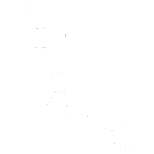 CC(C)(C)OC(=O)CCN1CCC2(CC1)COc1cc(/C=C/c3c(Cl)cc(C4CC4)cc3Cl)ccc12